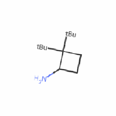 CC(C)(C)C1(C(C)(C)C)CCC1N